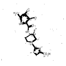 Cc1[nH]c(C(=O)N[C@H]2CCN(c3nc(C(=O)O)cs3)C[C@H]2F)c(Cl)c1Cl